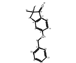 CC1(C)Cc2cc(OCc3ccccc3)ccc2C1=O